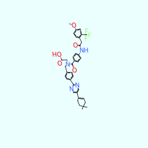 COc1ccc(CC(=O)Nc2ccc(C(=O)N(CC(=O)O)Cc3ccc(-c4ncc(C5=CCC(C)(C)CC5)cn4)cc3)cc2)c(C(F)(F)F)c1